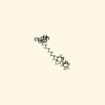 CCO[Si](CCCCCCCCCC1(C)C=CN=C(c2ccccn2)C1)(OCC)OCC